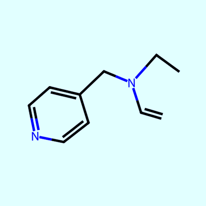 C=CN(CC)Cc1ccncc1